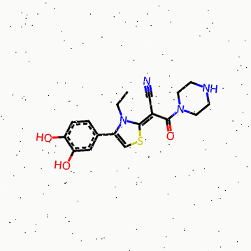 CCN1C(c2ccc(O)c(O)c2)=CSC1=C(C#N)C(=O)N1CCNCC1